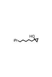 CC(C)CCCCCC1(O)CC1